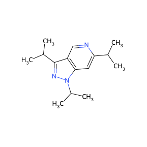 CC(C)c1cc2c(cn1)c(C(C)C)nn2C(C)C